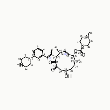 C/C(=C\c1cccc(N2CCNCC2)c1)[C@H]1C(=O)C(=O)C[C@H](O)CC[C@H](C)[C@@H](OC(=O)N2CCN(C)CC2)/C=C/[C@@H]1C